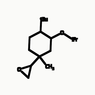 CC(C)OC1CC(C)(C2CO2)CCC1C(C)(C)C